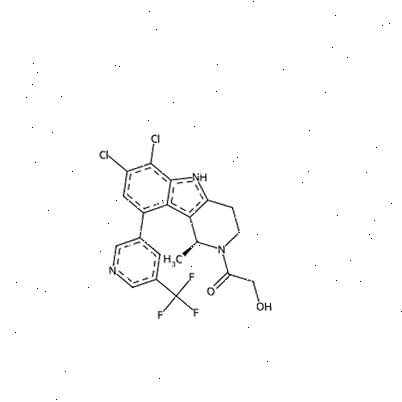 C[C@H]1c2c([nH]c3c(Cl)c(Cl)cc(-c4cncc(C(F)(F)F)c4)c23)CCN1C(=O)CO